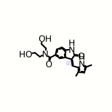 Cc1cc(C)c(/C=C2\C(=O)Nc3ccc(C(=O)N(CCO)CCO)cc32)[nH]1